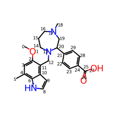 COc1cc(C)c2[nH]ccc2c1CN1CCCN(C)CC1c1ccc(C(=O)O)cc1